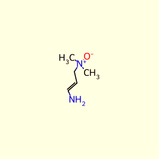 C[N+](C)([O-])CC=CN